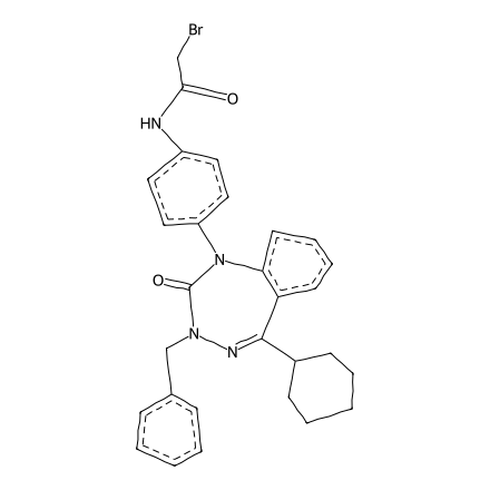 O=C(CBr)Nc1ccc(N2C(=O)N(Cc3ccccc3)N=C(C3CCCCC3)c3ccccc32)cc1